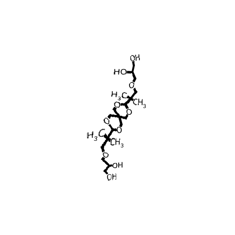 CC(C)(COCC(O)CO)C1OCC2(CO1)COC(C(C)(C)COCC(O)CO)OC2